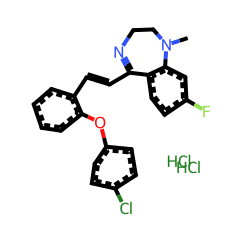 CN1CCN=C(C=Cc2ccccc2Oc2ccc(Cl)cc2)c2ccc(F)cc21.Cl.Cl